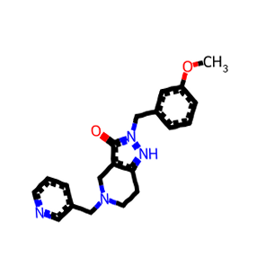 COc1cccc(Cn2[nH]c3c(c2=O)CN(Cc2cccnc2)CC3)c1